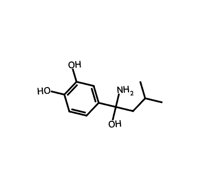 CC(C)CC(N)(O)c1ccc(O)c(O)c1